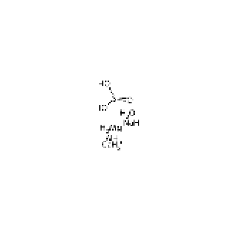 O.O=[Si](O)O.[AlH3].[CaH2].[MgH2].[NaH]